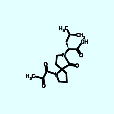 CC(=O)C(=O)N1CCCC12CCN([C@H](CC(C)C)C(=O)O)C2=O